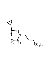 CCOC(=O)CCCN(OC(=O)C1CC1)C(=O)OC(C)(C)C